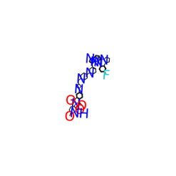 O=C1CCC(N2C(=O)c3ccc(N4CC(CN5CCC(N6CCC=C(c7cnc8ccc(N9CCCC9c9cccc(F)c9)nn78)C6)CC5)C4)cc3C2=O)C(=O)N1